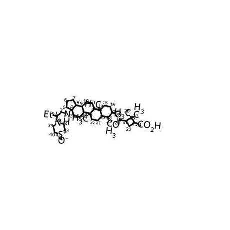 CCC(CNC12CCCC1C1CCC3C4(C)CCC(OC(=O)C5CC(C(=O)O)C5(C)C)C(C)C4CCC3(C)C1CC2)N1CC[S+]([O-])CC1